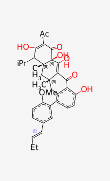 CC/C=C/c1ccc(OC)c(-c2ccc(O)c3c2C[C@]2(C)C[C@]4(C)C(C(C)C)C(O)=C(C(C)=O)C(=O)[C@]4(O)C(O)=C2C3=O)c1